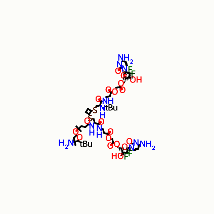 CC(C)(C)NC(CSC1CCC1SCC(NC(=O)CCC(C)(C)OCCC(C)(N)C(=O)C(C)(C)C)C(=O)NCCC(=O)OCC(=O)OC[C@@H]1O[C@H](n2ccc(N)nc2=O)C(F)(F)[C@H]1O)C(=O)NCCC(=O)OCC(=O)OC[C@@H]1O[C@H](n2ccc(N)nc2=O)C(F)(F)[C@H]1O